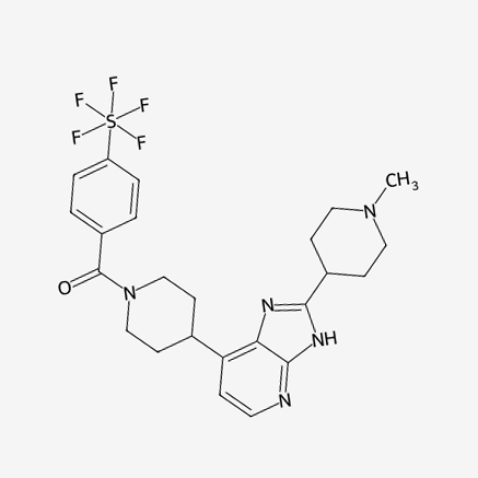 CN1CCC(c2nc3c(C4CCN(C(=O)c5ccc(S(F)(F)(F)(F)F)cc5)CC4)ccnc3[nH]2)CC1